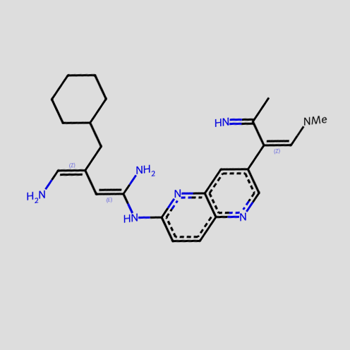 CN/C=C(\C(C)=N)c1cnc2ccc(N/C(N)=C/C(=C\N)CC3CCCCC3)nc2c1